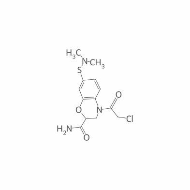 CN(C)Sc1ccc2c(c1)OC(C(N)=O)CN2C(=O)CCl